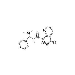 C[C@@H](Nc1nn(C)c(=O)c2cccnc12)C(c1ccccc1)N(C)C